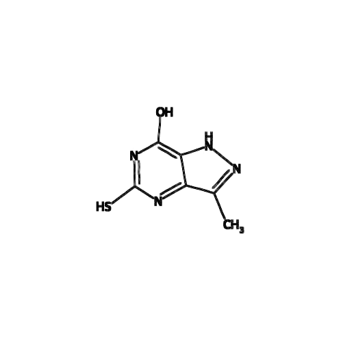 Cc1n[nH]c2c(O)nc(S)nc12